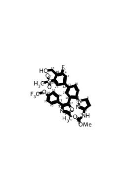 COC(=O)Nc1ccn(-c2ccc(-c3cc(F)c(CO)c(S(C)(=O)=O)c3)cc2-c2oc(C)nc2-c2ccc(OC(F)(F)F)cc2)n1